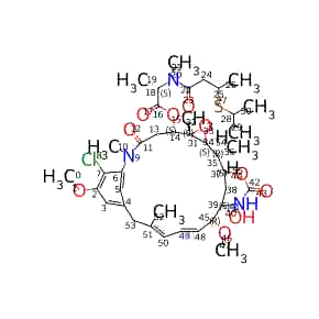 COc1cc2cc(c1Cl)N(C)C(=O)C[C@H](OC(=O)[C@H](C)N(C)C(=O)CC(C)SC(C)C)[C@]1(C)O[C@H]1[C@H](C)[C@@H]1C[C@@](O)(NC(=O)O1)[C@H](OC)/C=C/C=C(\C)C2